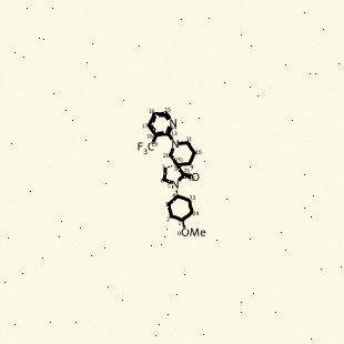 CO[C@H]1CC[C@H](N2CC[C@]3(CCCN(c4ncccc4C(F)(F)F)C3)C2=O)CC1